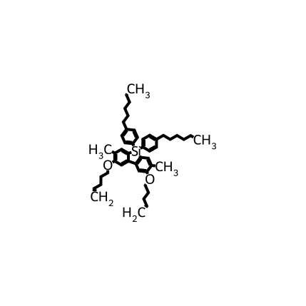 C=CCCCOc1cc2c(cc1C)[Si](c1ccc(CCCCCC)cc1)(c1ccc(CCCCCC)cc1)c1cc(C)c(OCCCC=C)cc1-2